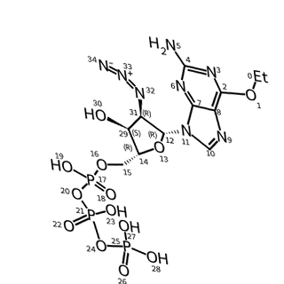 CCOc1nc(N)nc2c1ncn2[C@@H]1O[C@H](COP(=O)(O)OP(=O)(O)OP(=O)(O)O)[C@@H](O)[C@H]1N=[N+]=[N-]